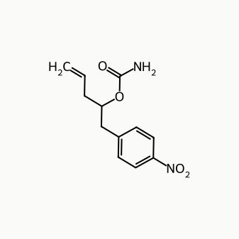 C=CCC(Cc1ccc([N+](=O)[O-])cc1)OC(N)=O